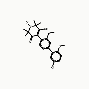 CCc1cc(-c2cc(Cl)ccc2OC)ccc1C1=C(O)C(C)(C)[S+]([O-])C(C)(C)C1=O